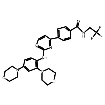 O=C(NCC(F)(F)F)c1ccc(-c2ccnc(Nc3ccc(N4CCOCC4)cc3N3CCOCC3)n2)cc1